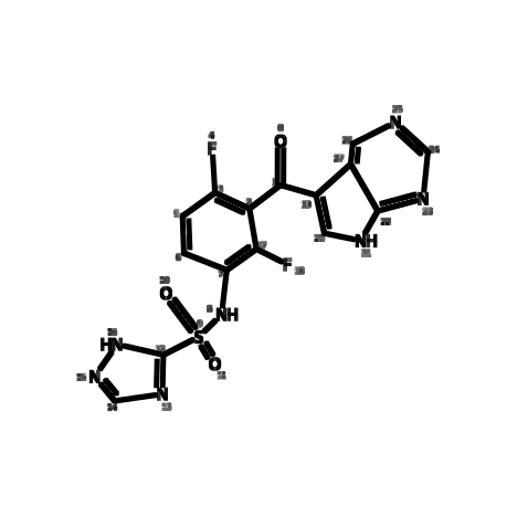 O=C(c1c(F)ccc(NS(=O)(=O)c2ncn[nH]2)c1F)c1c[nH]c2ncncc12